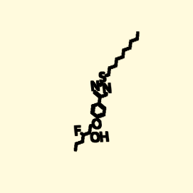 CCCCCCCCCCSc1ncc(-c2ccc(OC[C@H](O)[C@H](F)CCC)cc2)cn1